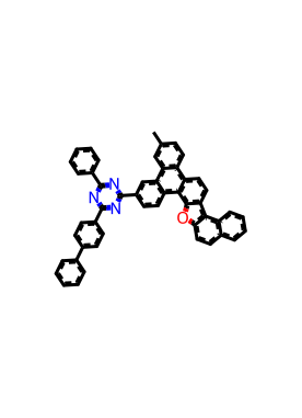 Cc1ccc2c(c1)c1cc(-c3nc(-c4ccccc4)nc(-c4ccc(-c5ccccc5)cc4)n3)ccc1c1c2ccc2c1oc1ccc3ccccc3c12